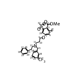 COC(=O)c1c(F)cc(OCCCN(CCc2ccccc2)Cc2cccc(C(F)(F)F)c2)cc1S(C)(=O)=O